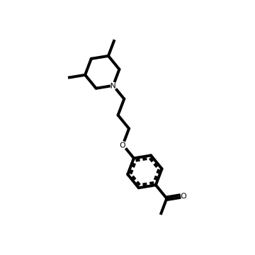 CC(=O)c1ccc(OCCCN2CC(C)CC(C)C2)cc1